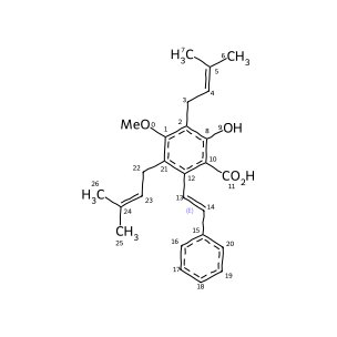 COc1c(CC=C(C)C)c(O)c(C(=O)O)c(/C=C/c2ccccc2)c1CC=C(C)C